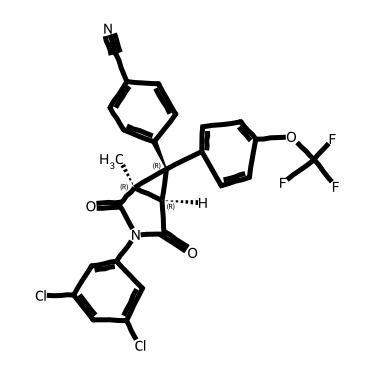 C[C@@]12C(=O)N(c3cc(Cl)cc(Cl)c3)C(=O)[C@@H]1[C@@]2(c1ccc(C#N)cc1)c1ccc(OC(F)(F)F)cc1